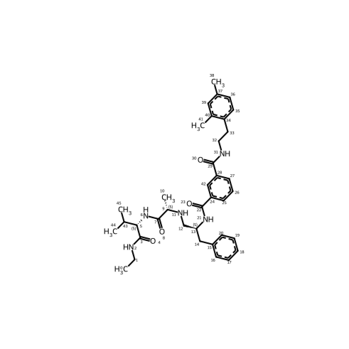 CCNC(=O)[C@@H](NC(=O)[C@H](C)NC[C@H](Cc1ccccc1)NC(=O)c1cccc(C(=O)NCCc2ccc(C)cc2C)c1)C(C)C